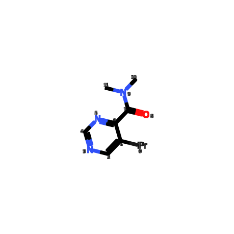 CC(C)c1cncnc1C(=O)N(C)C